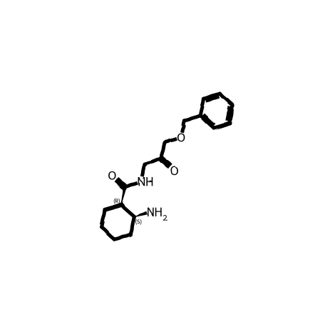 N[C@H]1CCCC[C@H]1C(=O)NCC(=O)COCc1ccccc1